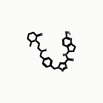 CC1CCCC(=O)N1CCN(I)Cc1ccc(Cn2cc(C(=O)NC3CCc4nc(N)ccc43)nn2)cc1